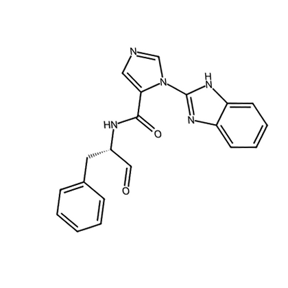 O=C[C@H](Cc1ccccc1)NC(=O)c1cncn1-c1nc2ccccc2[nH]1